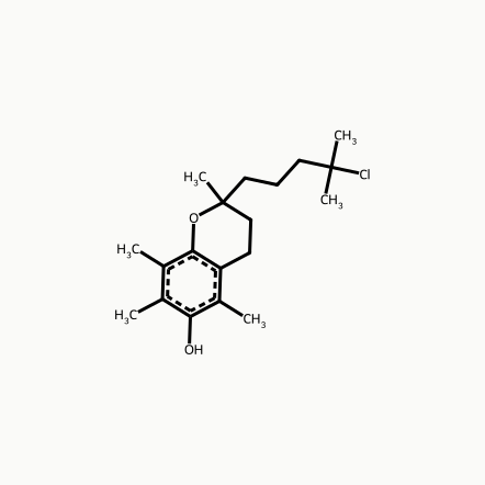 Cc1c(C)c2c(c(C)c1O)CCC(C)(CCCC(C)(C)Cl)O2